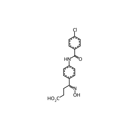 O=C(O)CCC(=NO)c1ccc(NC(=O)c2ccc(Cl)cc2)cc1